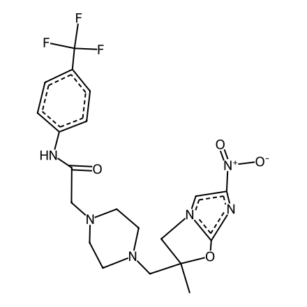 CC1(CN2CCN(CC(=O)Nc3ccc(C(F)(F)F)cc3)CC2)Cn2cc([N+](=O)[O-])nc2O1